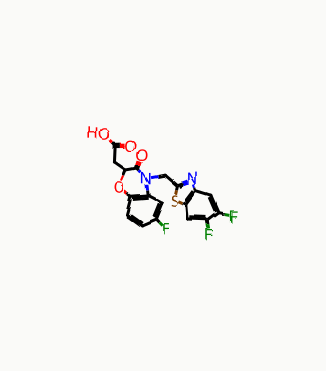 O=C(O)CC1Oc2ccc(F)cc2N(Cc2nc3cc(F)c(F)cc3s2)C1=O